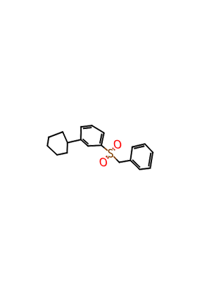 O=S(=O)(Cc1ccccc1)c1cccc(C2CCCCC2)c1